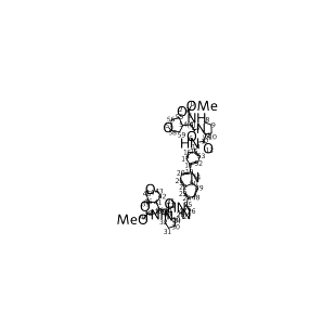 COC(=O)N[C@H](C(=O)N1CCC[C@H]1C(=O)Nc1ccc(-c2ccc3cc(-c4cnc([C@@H]5CCCN5C(=O)[C@@H](NC(=O)OC)C5CCOCC5)[nH]4)ccc3n2)cc1)C1CCOCC1